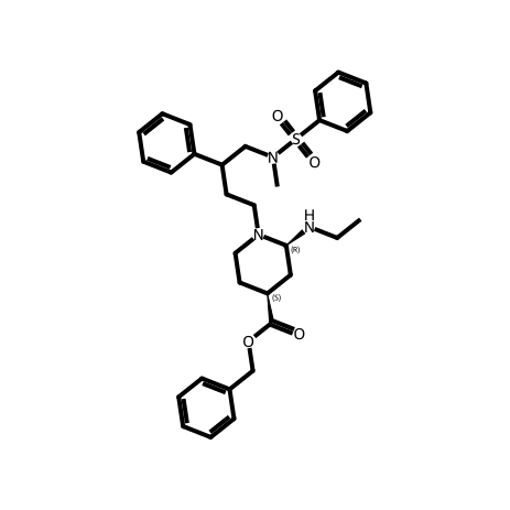 CCN[C@H]1C[C@@H](C(=O)OCc2ccccc2)CCN1CCC(CN(C)S(=O)(=O)c1ccccc1)c1ccccc1